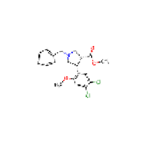 COC(=O)[C@H]1CN(Cc2ccccc2)C[C@H]1c1cc(Cl)c(Cl)cc1OC